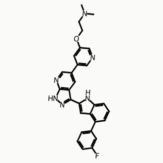 CN(C)CCOc1cncc(-c2cnc3[nH]nc(-c4cc5c(-c6cccc(F)c6)cccc5[nH]4)c3c2)c1